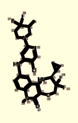 CC1CN(c2cc(Nc3ccc4c(c3)c3c(c(=O)n4C)OCC(F)(F)[C@H](C4CC4)N3)c(Cl)cn2)CCC1(F)F